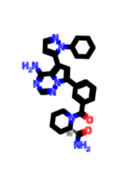 NC(=O)[C@@H]1CCCCN1C(=O)c1cccc(-c2cc(-c3ccnn3C3CCCCC3)c3c(N)ncnn23)c1